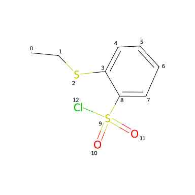 CCSc1ccccc1S(=O)(=O)Cl